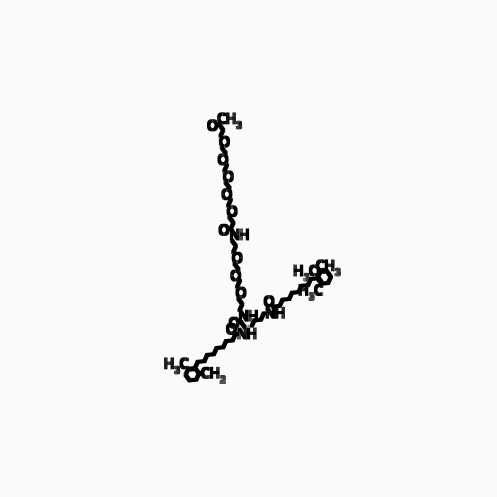 C=C1CCCC(C)=C1CCCCCCCCC(=O)N[C@@H](CCCCNC(=O)CCCCCCCCC1=C(C)CCCC1(C)C)C(=O)NCCCOCCOCCOCCCNC(=O)CCOCCOCCOCCOCCOCCC(C)=O